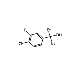 CCC(O)(CC)c1ccc(Cl)c(F)c1